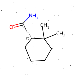 CC1(C)CCCC[C@@H]1C(N)=O